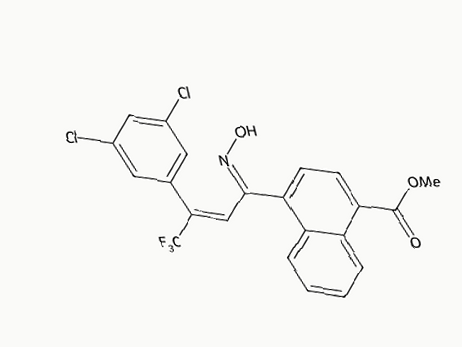 COC(=O)c1ccc(C(/C=C(\c2cc(Cl)cc(Cl)c2)C(F)(F)F)=N\O)c2ccccc12